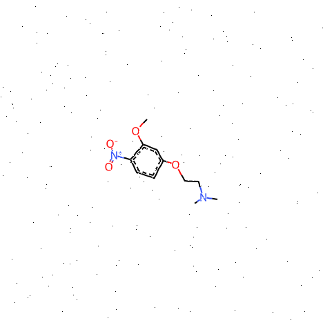 COc1cc(OCCN(C)C)ccc1[N+](=O)[O-]